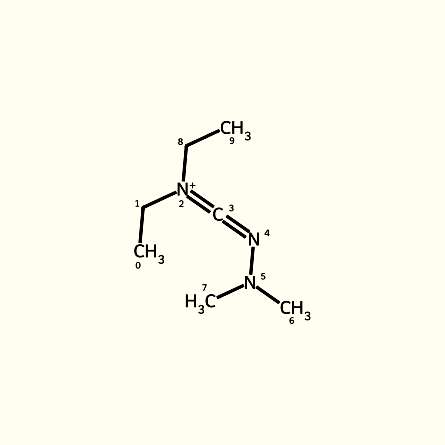 CC[N+](=C=NN(C)C)CC